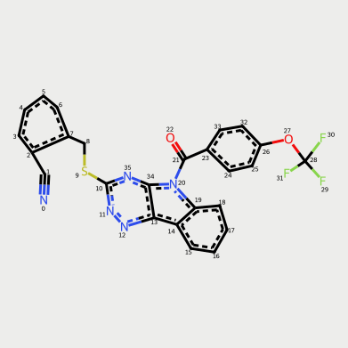 N#Cc1ccccc1CSc1nnc2c3ccccc3n(C(=O)c3ccc(OC(F)(F)F)cc3)c2n1